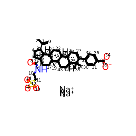 C=C(C)[C@@H]1CC[C@]2(C(=O)NCCS(=O)(=O)[O-])CC[C@]3(C)[C@H](CC[C@@H]4[C@@]5(C)CC=C(c6ccc(C(=O)[O-])cc6)C(C)(C)[C@@H]5CC[C@]43C)[C@@H]12.[Na+].[Na+]